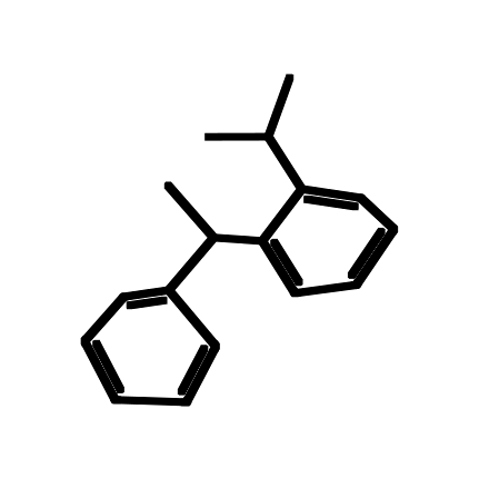 CC(C)c1ccccc1C(C)c1ccccc1